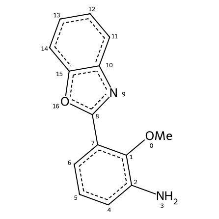 COc1c(N)cccc1-c1nc2ccccc2o1